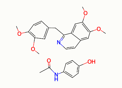 CC(=O)Nc1ccc(O)cc1.COc1ccc(Cc2nccc3cc(OC)c(OC)cc23)cc1OC